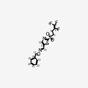 O=S(=O)(CCC(F)=C(F)F)c1ncc(C=NOCc2ccccc2)s1